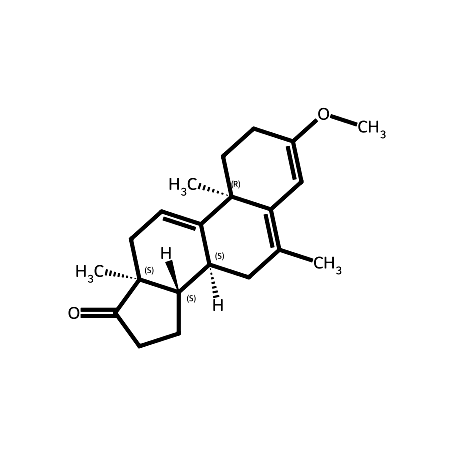 COC1=CC2=C(C)C[C@@H]3C(=CC[C@]4(C)C(=O)CC[C@@H]34)[C@@]2(C)CC1